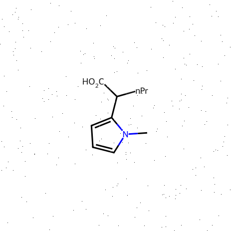 CCCC(C(=O)O)c1cccn1C